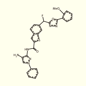 COc1ccccc1-c1nnc(C(F)c2ccc3cc(C(=O)Nc4nn(-c5ccccc5)cc4N)sc3c2)o1